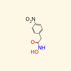 O=C(Cc1ccc([N+](=O)[O-])cc1)NO